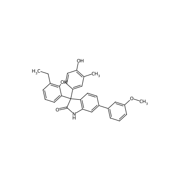 CCc1cccc(C2(c3ccc(O)c(C)c3)C(=O)Nc3cc(-c4cccc(OC)c4)ccc32)c1O